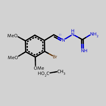 CC(=O)O.COc1cc(/C=N/NC(=N)N)c(Br)c(OC)c1OC